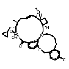 CO[C@H]1/C=C/C[C@H](C)[C@@H](CC2CC2)S(=O)(=O)NC(=O)c2ccc3c(c2)N(CCCCc2cc(Cl)ccc2CO3)C[C@@H]2CC[C@H]21